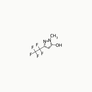 Cn1nc(C(F)(F)C(F)(F)F)cc1O